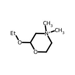 CCOC1C[N+](C)(C)CCO1